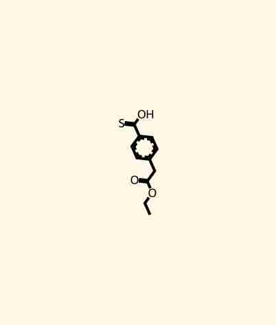 CCOC(=O)Cc1ccc(C(O)=S)cc1